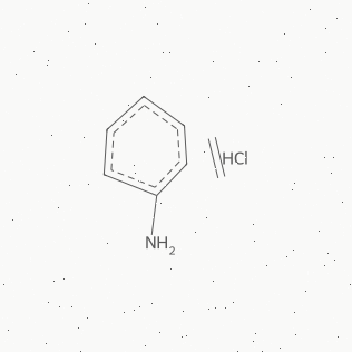 C=C.Cl.Nc1ccccc1